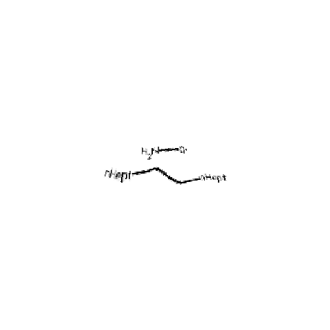 CCCCCCCCCCCCCCCC.N[O]